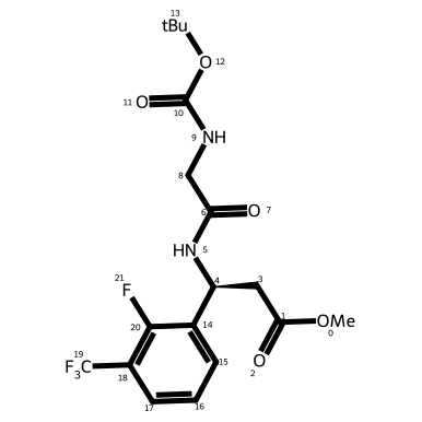 COC(=O)C[C@H](NC(=O)CNC(=O)OC(C)(C)C)c1cccc(C(F)(F)F)c1F